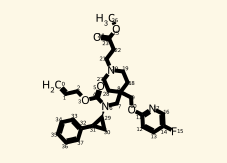 C=CCOC(=O)N(CC1(COc2ccc(F)cn2)CCN(CCC(=O)OC)CC1)[C@@H]1CC1c1ccccc1